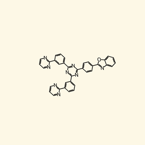 c1cnc(-c2cccc(-c3nc(-c4ccc(-c5nc6ccccc6o5)cc4)nc(-c4cccc(-c5ncccn5)c4)n3)c2)nc1